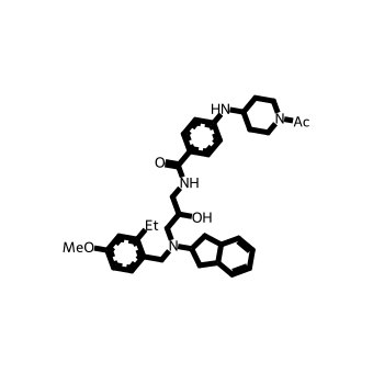 CCc1cc(OC)ccc1CN(CC(O)CNC(=O)c1ccc(NC2CCN(C(C)=O)CC2)cc1)C1CC2C=CC=CC2C1